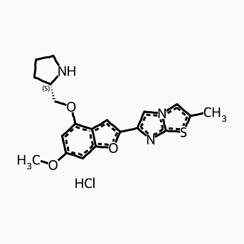 COc1cc(OC[C@@H]2CCCN2)c2cc(-c3cn4cc(C)sc4n3)oc2c1.Cl